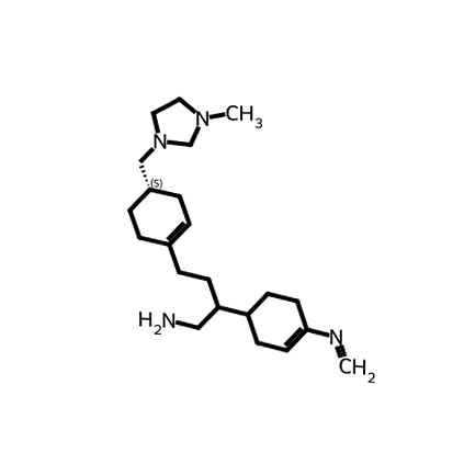 C=NC1=CCC(C(CN)CCC2=CC[C@@H](CN3CCN(C)C3)CC2)CC1